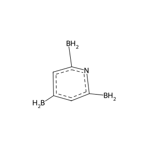 Bc1cc(B)nc(B)c1